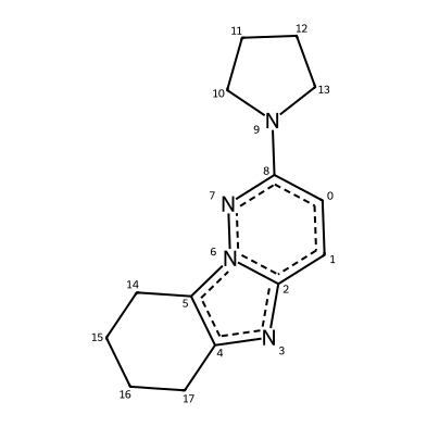 c1cc2nc3c(n2nc1N1CCCC1)CCCC3